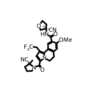 COc1cc2c(cc1C(=O)N[C@]1(C#N)CCOC1)-c1c(CC(F)(F)F)cc(C(=O)N3CCC[C@]3(C)C#N)n1CC2